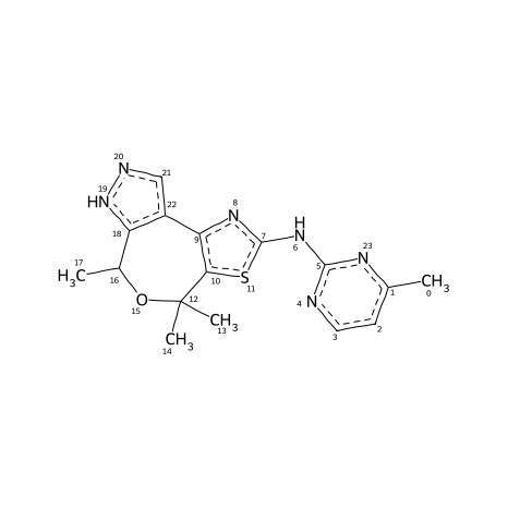 Cc1ccnc(Nc2nc3c(s2)C(C)(C)OC(C)c2[nH]ncc2-3)n1